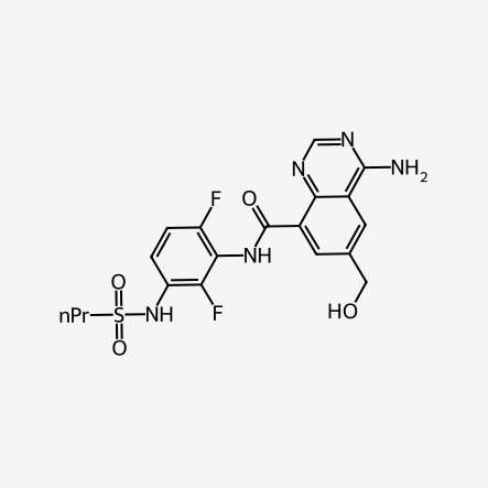 CCCS(=O)(=O)Nc1ccc(F)c(NC(=O)c2cc(CO)cc3c(N)ncnc23)c1F